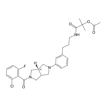 CC(=O)OC(C)(C)C(=O)NCCCc1cccc(N2CC3CN(C(=O)c4c(F)cccc4Cl)C[C@@H]3C2)c1